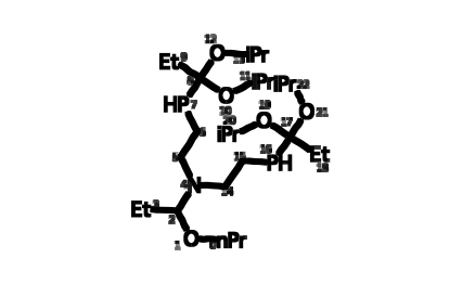 CCCOC(CC)N(CCPC(CC)(OC(C)C)OC(C)C)CCPC(CC)(OC(C)C)OC(C)C